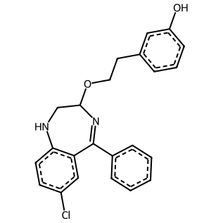 Oc1cccc(CCOC2CNc3ccc(Cl)cc3C(c3ccccc3)=N2)c1